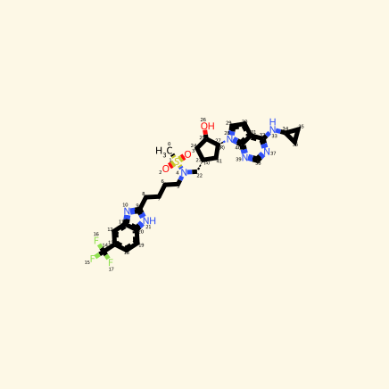 CS(=O)(=O)N(CCCCc1nc2cc(C(F)(F)F)ccc2[nH]1)C[C@@H]1CC(O)[C@H](n2ccc3c(NC4CC4)ncnc32)C1